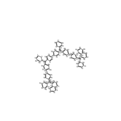 C1=CCC(N(c2ccc(-c3ccc(N(c4ccccc4)c4ccc(-c5ccc(N(c6ccccc6)c6cccc7ccccc67)cc5)cc4)cc3)cc2)c2ccc(-c3ccc(N(c4ccccc4)c4cccc5ccccc45)cc3)cc2)C=C1